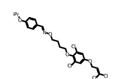 CC(C)Oc1ccc(C=NOCCCCOc2c(Cl)cc(OCC=C(Cl)Cl)cc2Cl)cc1